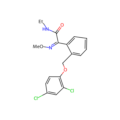 CCNC(=O)C(=NOC)c1ccccc1COc1ccc(Cl)cc1Cl